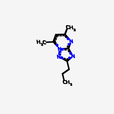 CCCc1nc2nc(C)cc(C)n2n1